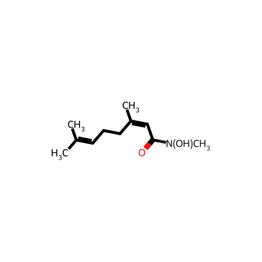 CC(C)=CCCC(C)=CC(=O)N(C)O